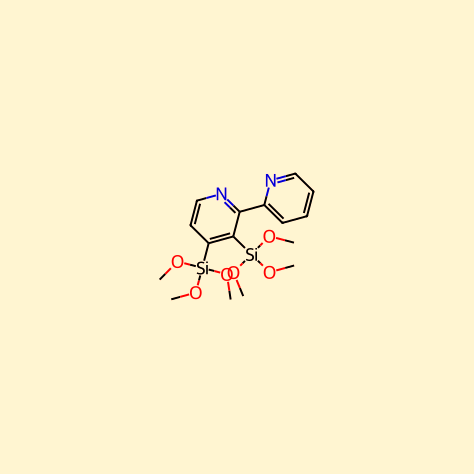 CO[Si](OC)(OC)c1ccnc(-c2ccccn2)c1[Si](OC)(OC)OC